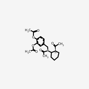 CC(=O)Oc1ccc(CN(C(C)=O)C2CCCC[C@@H]2C(C)=O)cc1OC(C)=O